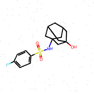 O=S(=O)(NC12CC3CC(CC(O)(C3)C1)C2)c1ccc(F)cc1